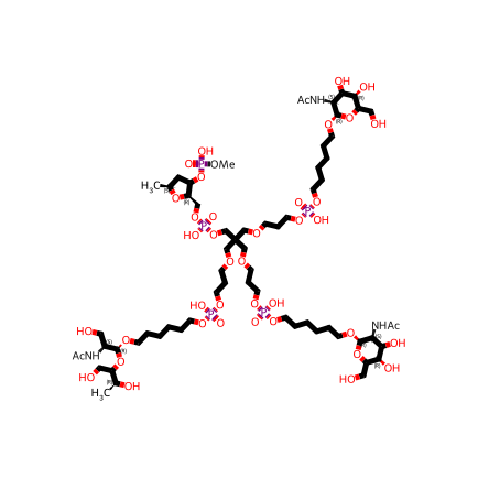 COP(=O)(O)OC1C[C@H](C)O[C@@H]1COP(=O)(O)OCC(COCCCOP(=O)(O)OCCCCCCO[C@H](OC(CO)[C@@H](C)O)[C@H](CO)NC(C)=O)(COCCCOP(=O)(O)OCCCCCCO[C@@H]1OC(CO)[C@H](O)C(O)[C@@H]1NC(C)=O)COCCCOP(=O)(O)OCCCCCCO[C@@H]1OC(CO)[C@H](O)C(O)[C@@H]1NC(C)=O